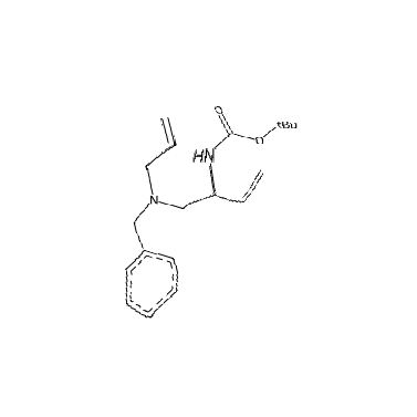 C=CCN(Cc1ccccc1)CC(C=C)NC(=O)OC(C)(C)C